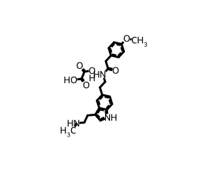 CNCCc1c[nH]c2ccc(CCNC(=O)Cc3ccc(OC)cc3)cc12.O=C(O)C(=O)O